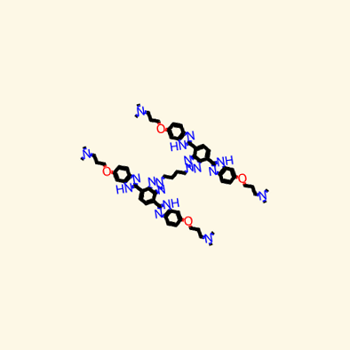 CN(C)CCCOc1ccc2nc(-c3ccc(-c4nc5ccc(OCCCN(C)C)cc5[nH]4)c4nn(CCCCn5nc6c(-c7nc8ccc(OCCCN(C)C)cc8[nH]7)ccc(-c7nc8ccc(OCCCN(C)C)cc8[nH]7)c6n5)nc34)[nH]c2c1